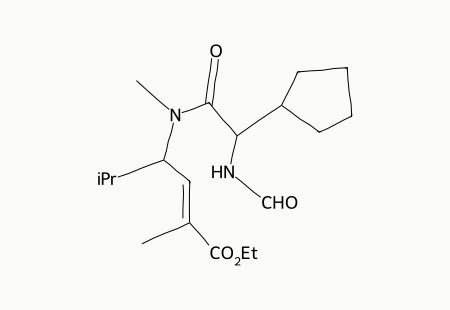 CCOC(=O)/C(C)=C/C(C(C)C)N(C)C(=O)C(NC=O)C1CCCC1